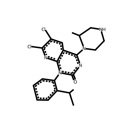 CC(C)c1ccccc1-n1c(=O)nc(N2CCNCC2C)c2cc(Cl)c(Cl)nc21